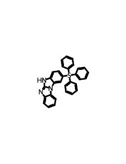 c1ccc(S(c2ccccc2)(c2ccccc2)c2ccc3[nH]c4nc5ccccc5n4c3c2)cc1